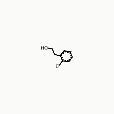 OCCc1c[c]ccc1Cl